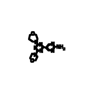 Nc1ncc(-c2nc(N3CCCOCC3)nc(N3CCOCC3)n2)cn1